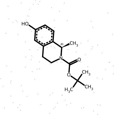 C[C@@H]1c2ccc(O)cc2CCN1C(=O)OC(C)(C)C